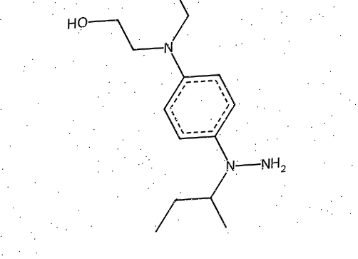 CCC(C)N(N)c1ccc(N(CC)CCO)cc1